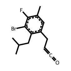 Cc1cc(CC=C=O)c(CC(C)C)c(Br)c1F